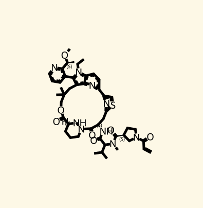 C=CC(=O)N1CC[C@H](C(=O)N(C)C(C(=O)N[C@H]2Cc3nc(cs3)-c3ccc4c(n3)c(c(-c3cccnc3[C@H](C)OC)n4CC)CC(C)(C)COC(=O)[C@@H]3CCCN(N3)C2=O)C(C)C)C1